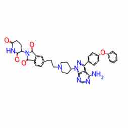 Nc1ncnc2c1c(-c1ccc(Oc3ccccc3)cc1)nn2C1CCN(CCc2ccc3c(c2)C(=O)N(C2CCC(=O)NC2=O)C3=O)CC1